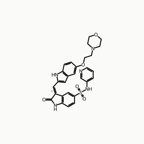 O=C1Nc2ccc(S(=O)(=O)Nc3cccnc3)cc2/C1=C\c1cc2cc(OCCN3CCOCC3)ccc2[nH]1